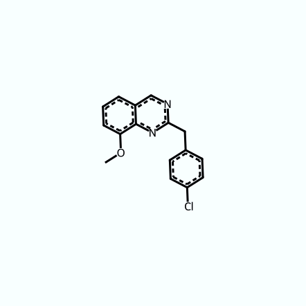 COc1cccc2cnc(Cc3ccc(Cl)cc3)nc12